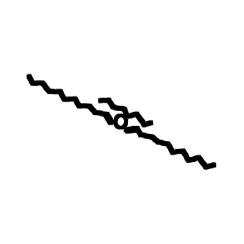 CCCCCCCC.CCCCCCCCCCC=COC=CCCCCCCCCCC